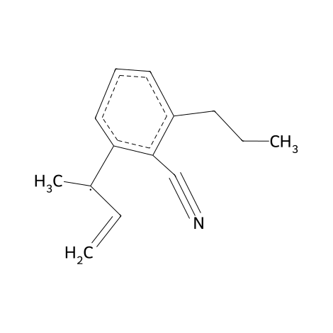 C=C[C](C)c1cccc(CCC)c1C#N